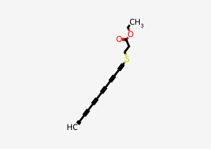 C#CC#CC#CC#CC#CC#CSCCC(=O)OCC